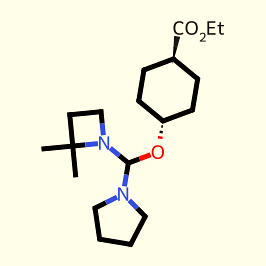 CCOC(=O)[C@H]1CC[C@H](OC(N2CCCC2)N2CCC2(C)C)CC1